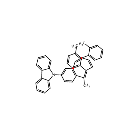 C\C1=C(c2cccc(C)c2-c2ccccc2C)/C=C\C=C/c2cc(-n3c4ccccc4c4ccccc43)ccc21